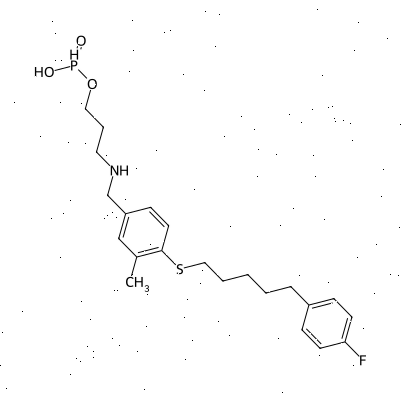 Cc1cc(CNCCCO[PH](=O)O)ccc1SCCCCCc1ccc(F)cc1